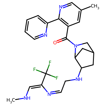 CN/C=C(\N=C/CNC1CC2CC1N(C(=O)c1cc(C)cnc1-c1ccccn1)C2)C(F)(F)F